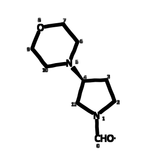 O=[C]N1CC[C@H](N2CCOCC2)C1